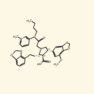 CCCCN(C(=O)CN1C[C@H](c2cc(OC)c3c(c2)OCO3)[C@@H](C(=O)O)[C@@H]1CCc1cccc2c1OCO2)c1ccc[n+](C)c1